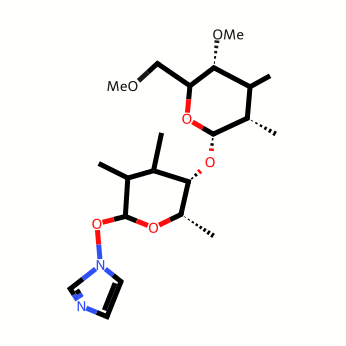 COCC1O[C@@H](O[C@H]2C(C)C(C)C(On3ccnc3)O[C@H]2C)[C@@H](C)C(C)[C@H]1OC